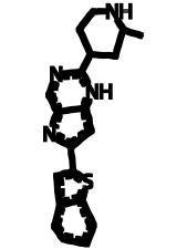 CC1CC(c2ncc3nc(-c4cc5ccccc5s4)cc-3[nH]2)CCN1